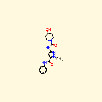 Cn1nc(NC(=O)N2CCC(O)CC2)cc1C(=O)Nc1ccccc1